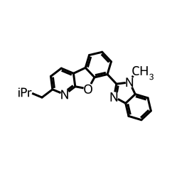 CC(C)Cc1ccc2c(n1)oc1c(-c3nc4ccccc4n3C)cccc12